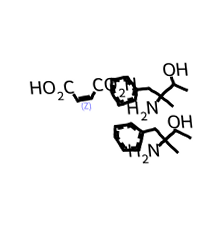 CC(O)C(C)(N)Cc1ccccc1.CC(O)C(C)(N)Cc1ccccc1.O=C(O)/C=C\C(=O)O